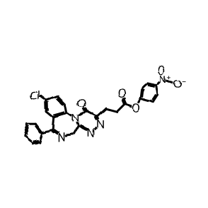 O=C(CCc1nnc2n(c1=O)-c1ccc(Cl)cc1C(c1ccccc1)=NC2)Oc1ccc([N+](=O)[O-])cc1